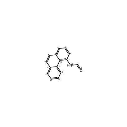 O=[C]Nc1cccc2ccc3ccccc3c12